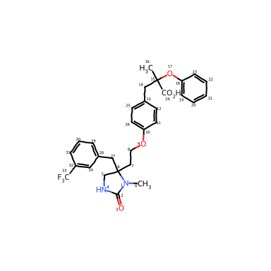 CN1C(=O)NCC1(CCOc1ccc(CC(C)(Oc2ccccc2)C(=O)O)cc1)Cc1cccc(C(F)(F)F)c1